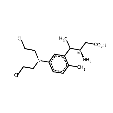 Cc1ccc(N(CCCl)CCCl)cc1C(C)[C@H](N)CC(=O)O